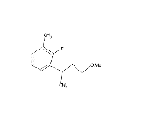 COCC[C](C)c1cccc(C)c1F